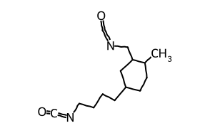 CC1CCC(CCCCN=C=O)CC1CN=C=O